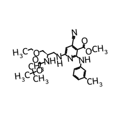 CCOC[C@@H](CNc1cc(C#N)c(C(=O)OC)c(Nc2cccc(C)c2)n1)NC(=O)OC(C)(C)C